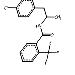 CC(Cc1ccc(Cl)cc1)NC(=O)c1ccccc1C(F)(F)F